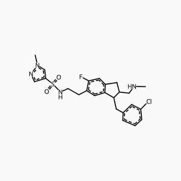 CNCC1Cc2cc(F)c(CCNS(=O)(=O)c3cnn(C)c3)cc2C1Cc1cccc(Cl)c1